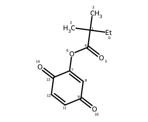 CCC(C)(C)C(=O)OC1=CC(=O)C=CC1=O